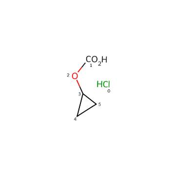 Cl.O=C(O)OC1CC1